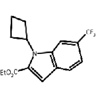 CCOC(=O)c1cc2ccc(C(F)(F)F)cc2n1C1CCC1